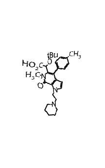 Cc1ccc(-c2c(C(OC(C)(C)C)C(=O)O)n(C)c(=O)c3c2ccn3CCN2CCCCC2)cc1